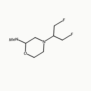 CNC1CN(C(CF)CF)CCO1